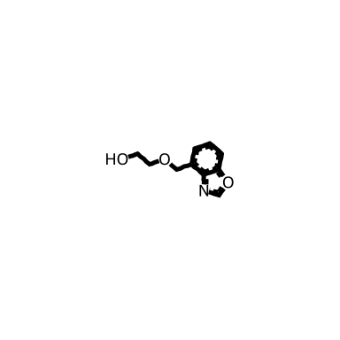 OCCOCc1cccc2ocnc12